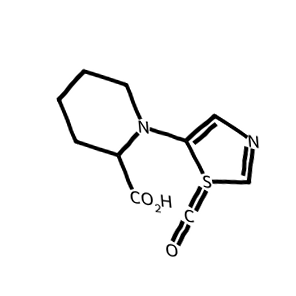 O=C=S1C=NC=C1N1CCCCC1C(=O)O